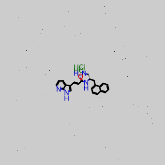 Cl.Cl.NC[C@H](Cc1cccc2ccccc12)NC(=O)C=Cc1c[nH]c2ncccc12